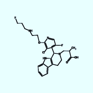 CC(CN1CCc2c([nH]c3ccccc23)C1c1c(F)cnc(OCCNCCCF)c1Cl)C(=O)O